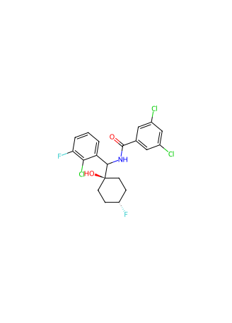 O=C(NC(c1cccc(F)c1Cl)[C@]1(O)CC[C@H](F)CC1)c1cc(Cl)cc(Cl)c1